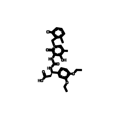 CCOc1ccc([C@H](CC(=O)O)NC(=O)Nc2c(O)c(C)cn(Cc3c(C)cccc3Cl)c2=O)cc1OCC